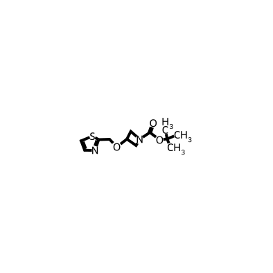 CC(C)(C)OC(=O)N1CC(OCc2nccs2)C1